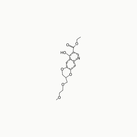 CCOC(=O)c1cnc2cc3c(cc2c1O)OCC(COCCOC)O3